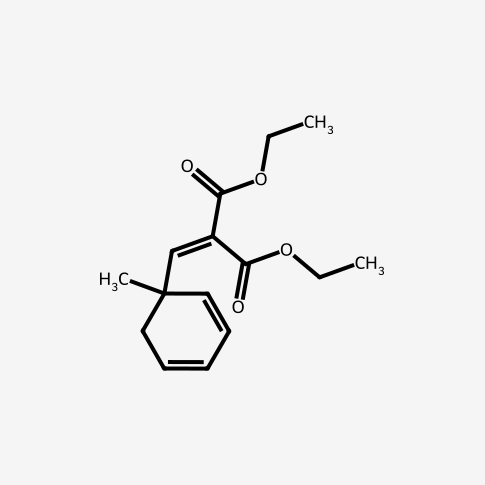 CCOC(=O)C(=CC1(C)C=CC=CC1)C(=O)OCC